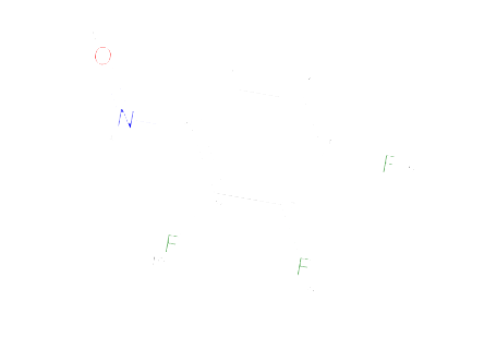 O=Nc1ccc(F)c(F)c1F